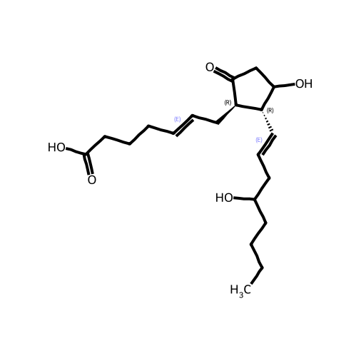 CCCCC(O)C/C=C/[C@H]1C(O)CC(=O)[C@@H]1C/C=C/CCCC(=O)O